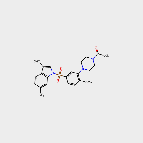 COc1ccc(S(=O)(=O)n2cc(C=O)c3ccc(C(F)(F)F)cc32)cc1N1CCN(C(=O)C(Cl)(Cl)Cl)CC1